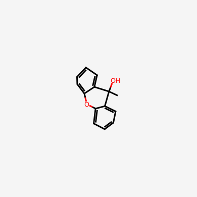 CC1(O)c2ccccc2Oc2ccccc21